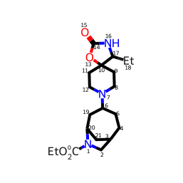 CCOC(=O)N1CC2CCC(N3CCC4(CC3)OC(=O)NC4CC)CC1C2